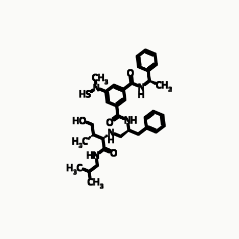 CC(C)CNC(=O)[C@@H](NC[C@H](Cc1ccccc1)NC(=O)c1cc(C(=O)N[C@H](C)c2ccccc2)cc(N(C)S)c1)[C@H](C)CO